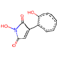 O=C1C=C(c2ccccc2O)C(=O)N1O